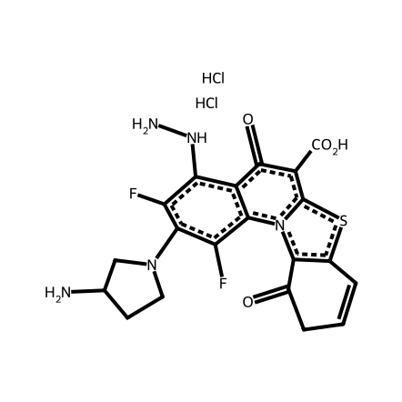 Cl.Cl.NNc1c(F)c(N2CCC(N)C2)c(F)c2c1c(=O)c(C(=O)O)c1sc3c(n12)C(=O)CC=C3